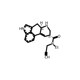 C#CCN(CC)C(=O)[C@@H]1C=C2c3cccc4[nH]cc(c34)C[C@H]2NC1